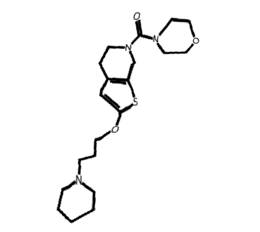 O=C(N1CCOCC1)N1CCc2cc(OCCCN3CCCCC3)sc2C1